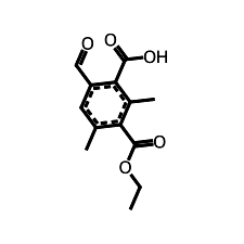 CCOC(=O)c1c(C)cc(C=O)c(C(=O)O)c1C